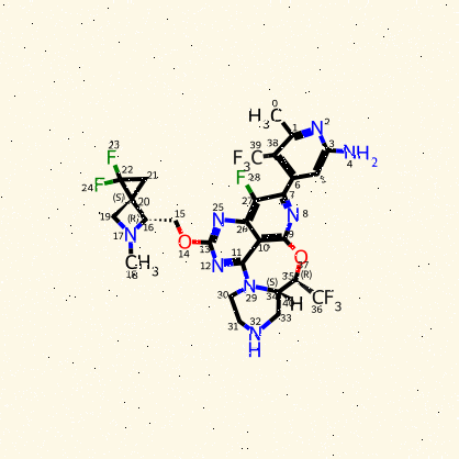 Cc1nc(N)cc(-c2nc3c4c(nc(OC[C@@H]5N(C)C[C@@]56CC6(F)F)nc4c2F)N2CCNC[C@H]2[C@H](C(F)(F)F)O3)c1C(F)(F)F